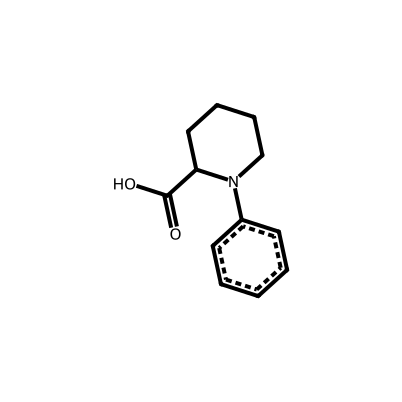 O=C(O)C1CCCCN1c1ccccc1